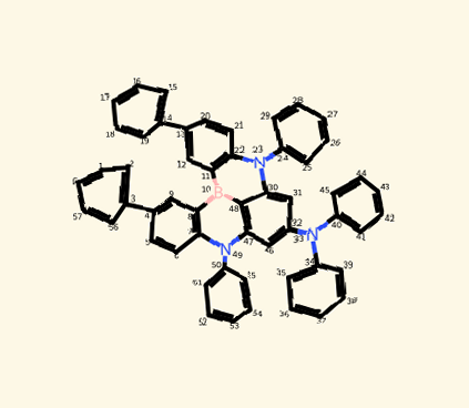 c1ccc(-c2ccc3c(c2)B2c4cc(-c5ccccc5)ccc4N(c4ccccc4)c4cc(N(c5ccccc5)c5ccccc5)cc(c42)N3c2ccccc2)cc1